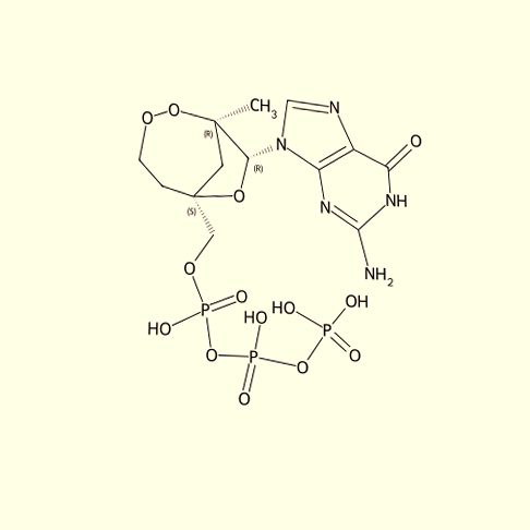 C[C@]12C[C@](COP(=O)(O)OP(=O)(O)OP(=O)(O)O)(CCOO1)O[C@H]2n1cnc2c(=O)[nH]c(N)nc21